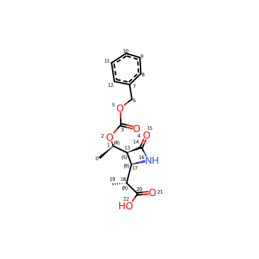 C[C@@H](OC(=O)OCc1ccccc1)[C@H]1C(=O)N[C@H]1[C@@H](C)C(=O)O